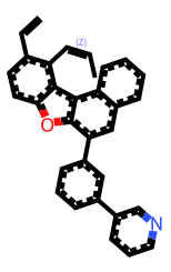 C=Cc1ccc2oc3c(-c4cccc(-c5cccnc5)c4)cc4ccccc4c3c2c1/C=C\C